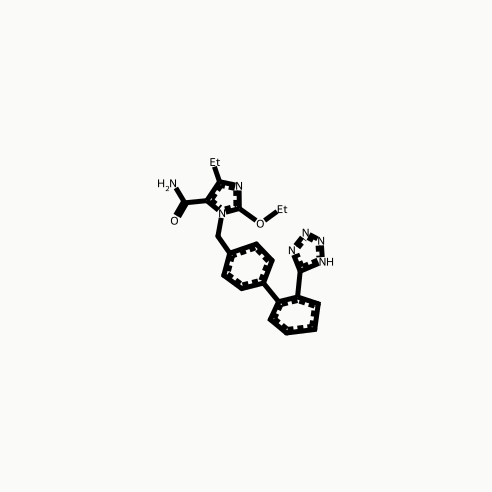 CCOc1nc(CC)c(C(N)=O)n1Cc1ccc(-c2ccccc2-c2nnn[nH]2)cc1